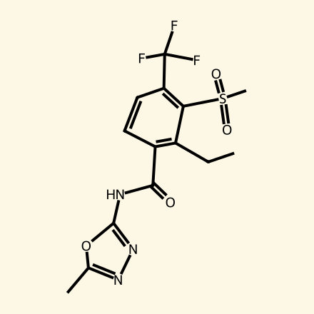 CCc1c(C(=O)Nc2nnc(C)o2)ccc(C(F)(F)F)c1S(C)(=O)=O